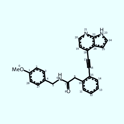 COc1ccc(CNC(=O)Cc2ccccc2C#Cc2ccnc3[nH]ccc23)cc1